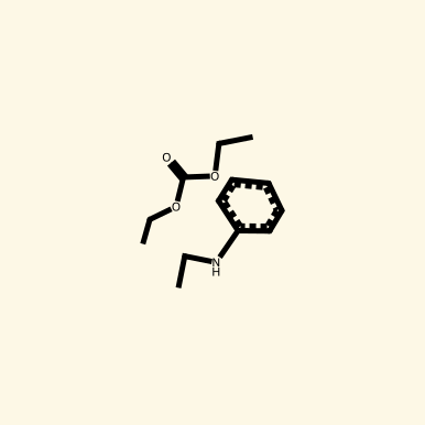 CCNc1ccccc1.CCOC(=O)OCC